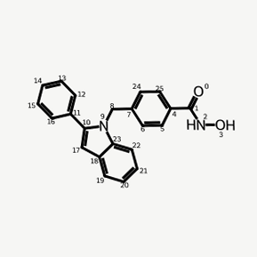 O=C(NO)c1ccc(Cn2c(-c3ccccc3)cc3ccccc32)cc1